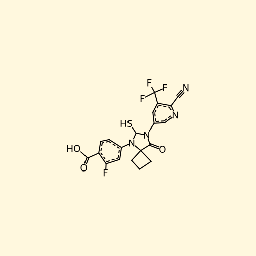 N#Cc1ncc(N2C(=O)C3(CCC3)N(c3ccc(C(=O)O)c(F)c3)C2S)cc1C(F)(F)F